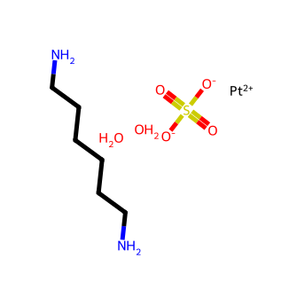 NCCCCCCN.O.O.O=S(=O)([O-])[O-].[Pt+2]